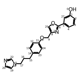 Oc1cccc(-c2nc(COc3ccc(CCCn4ccnc4)cc3)co2)c1